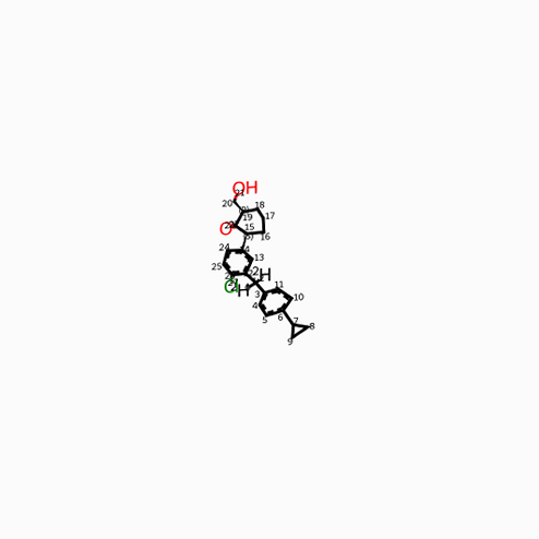 [2H]C([2H])(c1ccc(C2CC2)cc1)c1cc([C@@H]2CCC[C@H](CO)C2=O)ccc1Cl